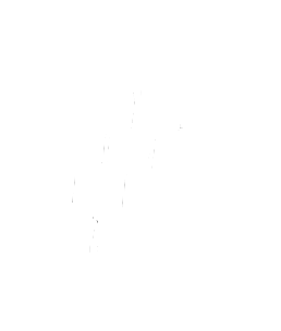 CCc1cc2c(cc1Cl)CCN(CC)C2